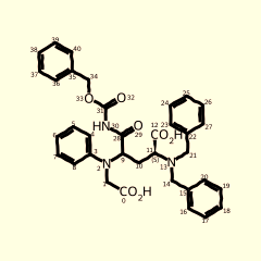 O=C(O)CN(c1ccccc1)C(C[C@@H](C(=O)O)N(Cc1ccccc1)Cc1ccccc1)C(=O)NC(=O)OCc1ccccc1